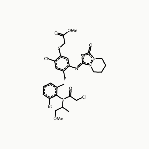 CCc1cccc(C)c1N(C(=O)CCl)C(C)COC.COC(=O)CSc1cc(/N=c2\sc(=O)n3n2CCCC3)c(F)cc1Cl